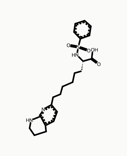 O=C(O)[C@H](CCCCCCc1ccc2c(n1)NCCC2)NS(=O)(=O)c1ccccc1